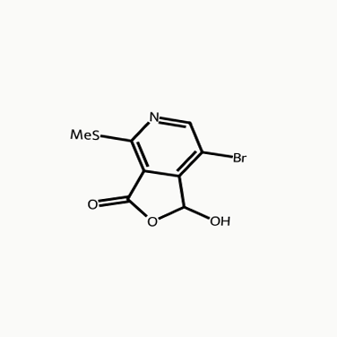 CSc1ncc(Br)c2c1C(=O)OC2O